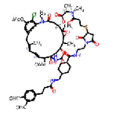 COc1cc2cc(c1Cl)N(C)C(=O)C[C@H](OC(=O)[C@H](C)N(C)C(=O)CCSC1CC(=O)N(CCNC(=O)C3CCC(CNC(=O)CCc4ccc(C=O)c(C=O)c4)CC3)C1=O)C1(C)OC1C(C)C1CC(O)(NC(=O)O1)C(OC)/C=C/C=C(\C)C2